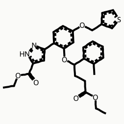 CCOC(=O)CCC(Oc1cc(OCc2ccsc2)ccc1-c1cc(C(=O)OCC)[nH]n1)c1ccccc1C